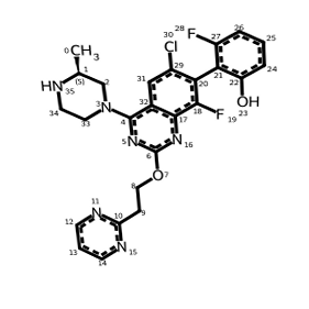 C[C@H]1CN(c2nc(OCCc3ncccn3)nc3c(F)c(-c4c(O)cccc4F)c(Cl)cc23)CCN1